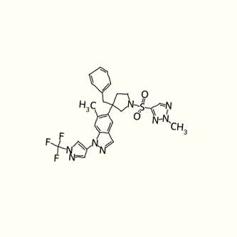 Cc1cc2c(cnn2-c2cnn(C(F)(F)F)c2)cc1C1(Cc2ccccc2)CCN(S(=O)(=O)c2cnn(C)n2)C1